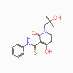 CC(C)(O)CN1CCC(O)=C(C(=S)Nc2ccccc2)C1=O